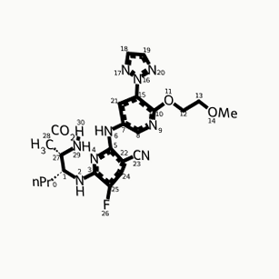 CCC[C@@H](Nc1nc(Nc2cnc(OCCOC)c(-n3nccn3)c2)c(C#N)cc1F)[C@H](C)NC(=O)O